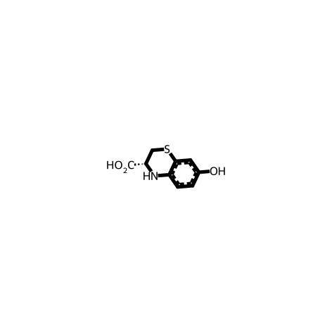 O=C(O)[C@@H]1CSc2cc(O)ccc2N1